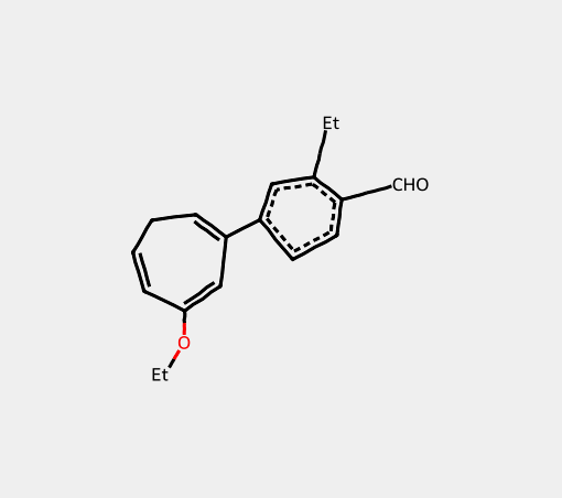 CCOC1=CC(c2ccc(C=O)c(CC)c2)=CCC=C1